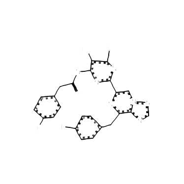 CCc1c(O)nc(-c2cn3ncnc3c(Cc3ccc(F)cc3)n2)nc1NC(=O)Cc1ccc(F)cc1